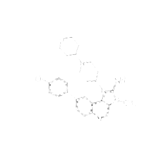 Cn1c(=N)n(C2CCN(C3CCOCC3)CC2)c2c3cc(-c4ccc(Cl)cc4)ccc3ncc21